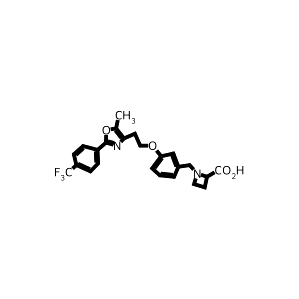 Cc1oc(-c2ccc(C(F)(F)F)cc2)nc1CCOc1cccc(CN2CCC2C(=O)O)c1